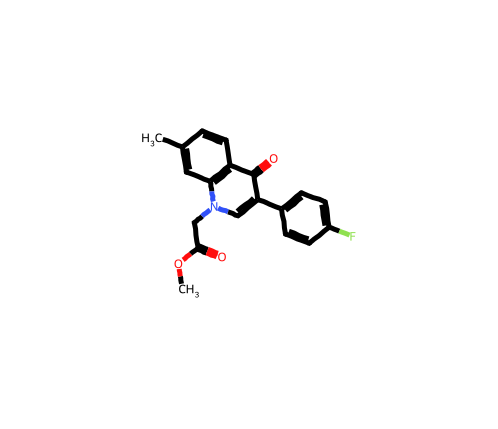 COC(=O)Cn1cc(-c2ccc(F)cc2)c(=O)c2ccc(C)cc21